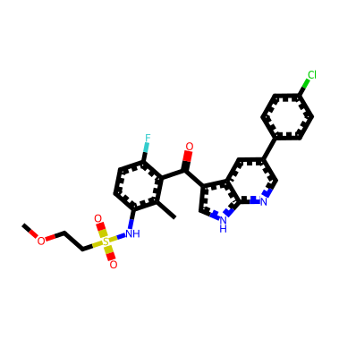 COCCS(=O)(=O)Nc1ccc(F)c(C(=O)c2c[nH]c3ncc(-c4ccc(Cl)cc4)cc23)c1C